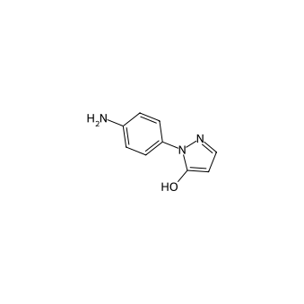 Nc1ccc(-n2nccc2O)cc1